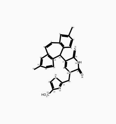 Cc1ccc2c(c1)C=Cc1cc(C)ccc1C2c1cn(Cc2nc(C(=O)O)cs2)c(=O)[nH]c1=S